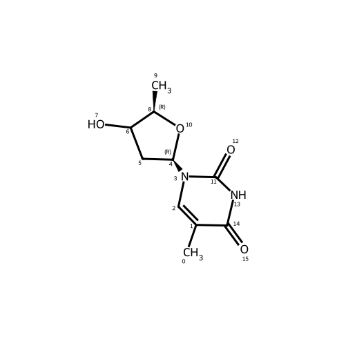 Cc1cn([C@H]2CC(O)[C@@H](C)O2)c(=O)[nH]c1=O